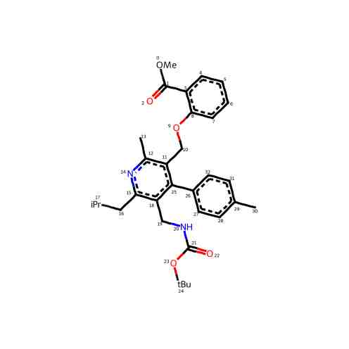 COC(=O)c1ccccc1OCc1c(C)nc(CC(C)C)c(CNC(=O)OC(C)(C)C)c1-c1ccc(C)cc1